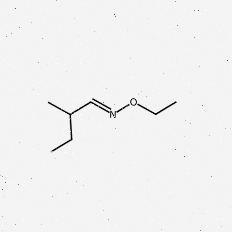 CCON=CC(C)CC